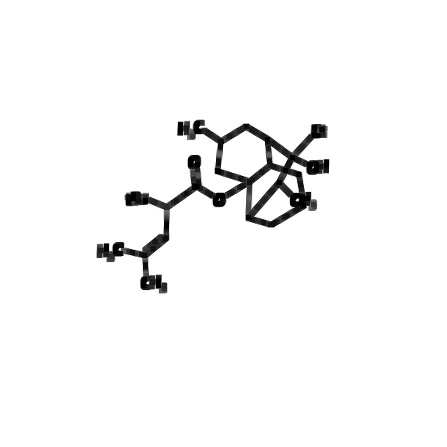 CCC1(O)C(C)C2CCCC3C1CC(C)CC23OC(=O)C(C=C(C)C)C(C)(C)C